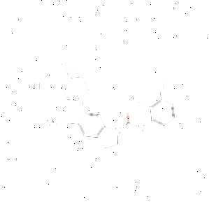 COc1cc2c(cc1N1C[C@@H](C)N(C)[C@@H](C)C1)N(C(=O)Nc1cccc(C(F)(F)F)c1Cl)CC2